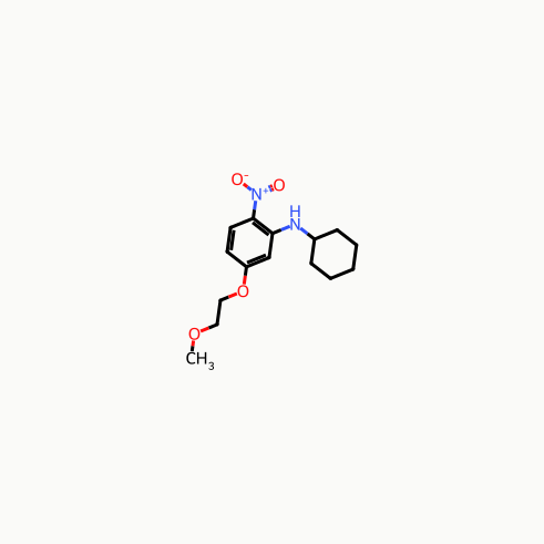 COCCOc1ccc([N+](=O)[O-])c(NC2CCCCC2)c1